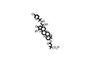 CC(C)C1=C2[C@H]3CC[C@@H]4[C@@]5(C)CC[C@H](OC(=O)CC(C)(C)C(=O)O)C(C)(C)[C@H]5CC[C@@]4(C)[C@]3(C)CCC2(C(O)CNC(C)(C)c2ccc(Cl)cn2)CC1=O